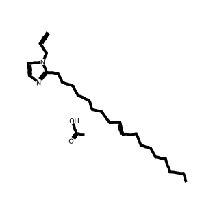 C=CCn1ccnc1CCCCCCCCC=CCCCCCCCC.CC(=O)O